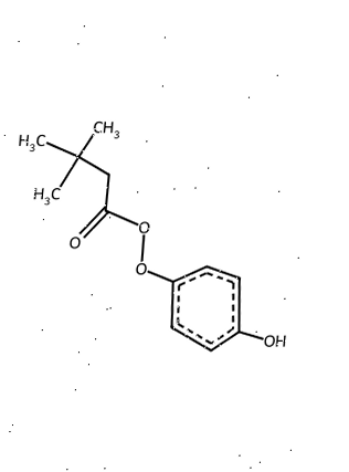 CC(C)(C)CC(=O)OOc1ccc(O)cc1